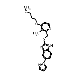 COCCCOc1ccnc(CSc2nc3cc(-n4cccn4)ccc3[nH]2)c1C